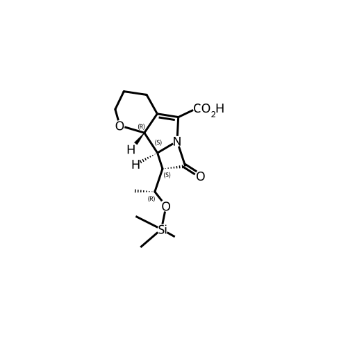 C[C@@H](O[Si](C)(C)C)[C@H]1C(=O)N2C(C(=O)O)=C3CCCO[C@H]3[C@H]12